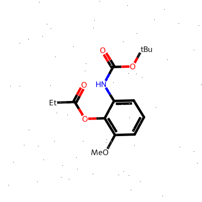 CCC(=O)Oc1c(NC(=O)OC(C)(C)C)cccc1OC